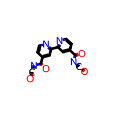 O=C=NC(=O)c1ccnc(-c2cc(C(=O)N=C=O)ccn2)c1